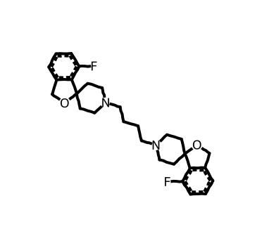 Fc1cccc2c1C1(CCN(CCCCN3CCC4(CC3)OCc3cccc(F)c34)CC1)OC2